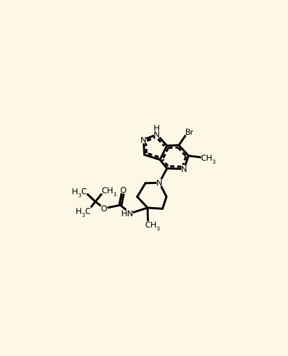 Cc1nc(N2CCC(C)(NC(=O)OC(C)(C)C)CC2)c2cn[nH]c2c1Br